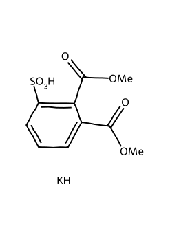 COC(=O)c1cccc(S(=O)(=O)O)c1C(=O)OC.[KH]